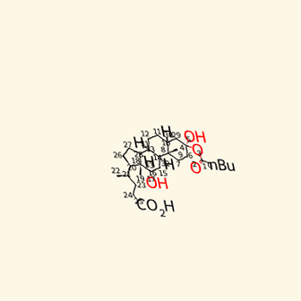 CCCCC(=O)O[C@@]1(O)CC[C@@]2(C)[C@H](CC[C@@H]3[C@@H]2C[C@H](O)[C@]2(C)[C@@H]([C@H](C)CCC(=O)O)CC[C@@H]32)C1